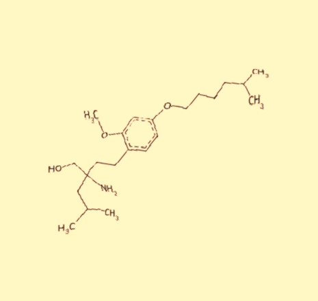 COc1cc(OCCCCC(C)C)ccc1CCC(N)(CO)CC(C)C